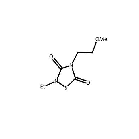 CCn1sc(=O)n(CCOC)c1=O